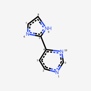 [c]1nccc(-c2ncc[nH]2)n1